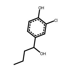 CCCC(O)c1ccc(O)c(Cl)c1